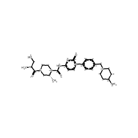 C[C@@H]1CN(C(=O)[C@@H](C)CO)CCN1C(=O)Nc1ccn(-c2ccc(CN3CCC(N)CC3)cc2)c(=O)n1